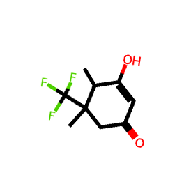 CC1C(O)=CC(=O)CC1(C)C(F)(F)F